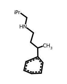 CC(C)CNCCC(C)c1ccccc1